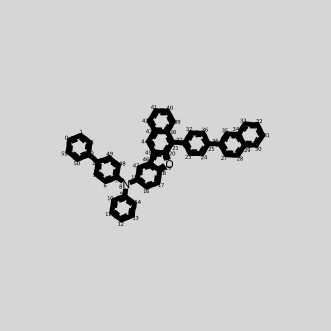 c1ccc(-c2ccc(N(c3ccccc3)c3ccc4oc5c(-c6ccc(-c7ccc8ccccc8c7)cc6)c6ccccc6cc5c4c3)cc2)cc1